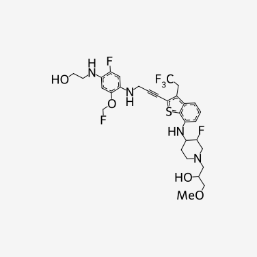 COCC(O)CN1CCC(Nc2cccc3c(CC(F)(F)F)c(C#CCNc4cc(F)c(NCCO)cc4OCF)sc23)C(F)C1